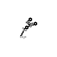 O=C(O)CCCCCNC(=O)c1ccc(C(=O)C(CS(=O)(=O)Cc2ccccc2)CS(=O)(=O)Cc2ccccc2)cc1